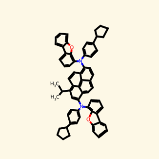 CC(C)c1cc(N(c2ccc(C3CCCC3)cc2)c2cccc3c2oc2ccccc23)c2ccc3ccc(N(c4ccc(C5CCCC5)cc4)c4cccc5c4oc4ccccc45)c4ccc1c2c34